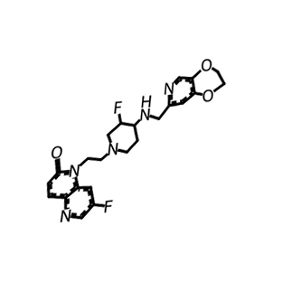 O=c1ccc2ncc(F)cc2n1CCN1CCC(NCc2cc3c(cn2)OCCO3)C(F)C1